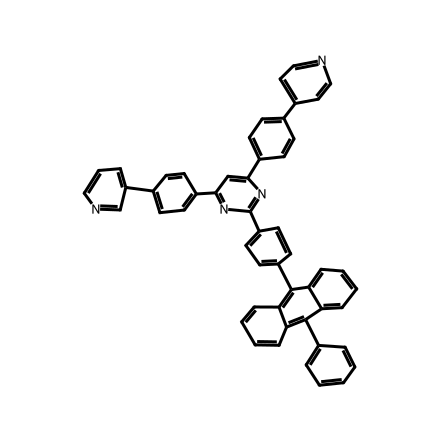 c1ccc(-c2c3ccccc3c(-c3ccc(-c4nc(-c5ccc(-c6ccncc6)cc5)cc(-c5ccc(-c6cccnc6)cc5)n4)cc3)c3ccccc23)cc1